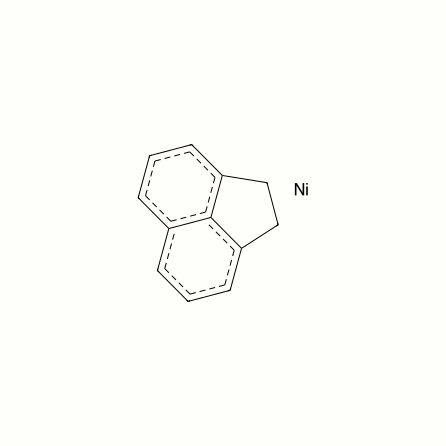 [Ni].c1cc2c3c(cccc3c1)CC2